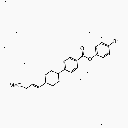 COC/C=C/C1CCC(c2ccc(C(=O)Oc3ccc(Br)cc3)cc2)CC1